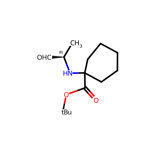 C[C@H](C=O)NC1(C(=O)OC(C)(C)C)CCCCC1